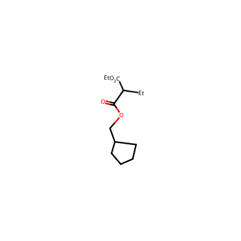 CCOC(=O)C(CC)C(=O)OCC1CCCC1